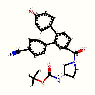 CC(C)(C)OC(=O)N[C@H]1CCN(C(=O)c2ccc(-c3ccc(O)cc3)c(-c3ccc(C#N)cc3)c2)C1